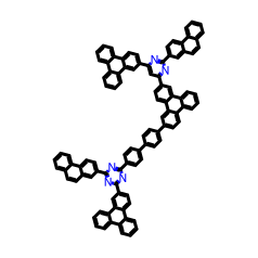 c1ccc2c(c1)ccc1cc(-c3nc(-c4ccc5c6ccccc6c6ccccc6c5c4)cc(-c4ccc5c6cc(-c7ccc(-c8ccc(-c9nc(-c%10ccc%11c(ccc%12ccccc%12%11)c%10)nc(-c%10ccc%11c%12ccccc%12c%12ccccc%12c%11c%10)n9)cc8)cc7)ccc6c6ccccc6c5c4)n3)ccc12